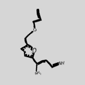 C=CCOCc1ccc(/C(N)=C/C=N)o1